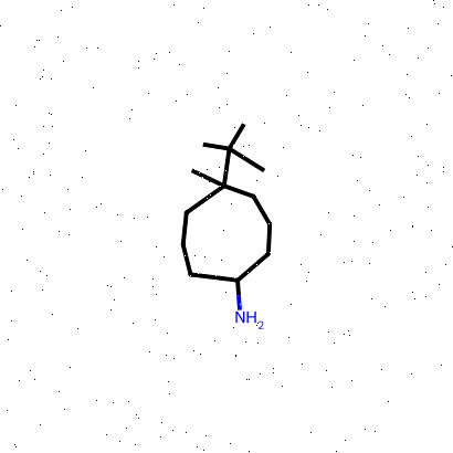 CC(C)(C)C1(C)CCCC(N)CCC1